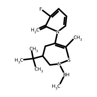 C=C1C(F)=CC=CN1C1=C(C)SN(BC)CC(C(C)(C)C)C1